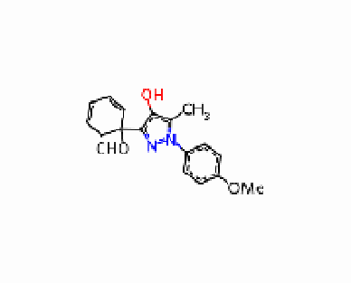 COc1ccc(-n2nc(C3(C=O)C=CC=CC3)c(O)c2C)cc1